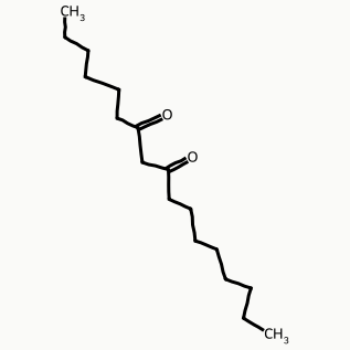 CCCCCCCCC(=O)CC(=O)CCCCCC